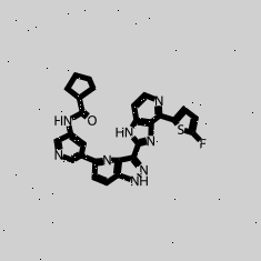 O=C(Nc1cncc(-c2ccc3[nH]nc(-c4nc5c(-c6ccc(F)s6)nccc5[nH]4)c3n2)c1)C1CCCC1